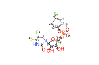 O=c1[nH]c(=S)c(F)cn1[C@@H]1O[C@](F)(COP2(=O)OCc3cc(F)ccc3O2)[C@@H](O)[C@H]1O